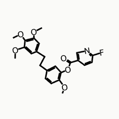 COc1ccc(CCc2cc(OC)c(OC)c(OC)c2)cc1OC(=O)c1ccc(F)nc1